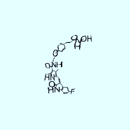 Cc1[nH]c(C=C2C(=O)Nc3ccc(F)cc32)c(C)c1C(=O)NCCOc1ccc(C=CC(=O)NO)cc1